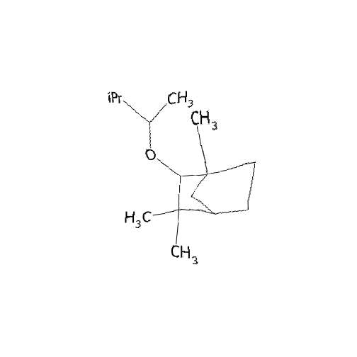 CC(C)C(C)OC1C2(C)CCC(C2)C1(C)C